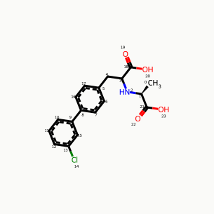 C[C@H](NC(Cc1ccc(-c2cccc(Cl)c2)cc1)C(=O)O)C(=O)O